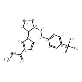 CNC(=O)c1ccn(C2CNCC2OCc2ccc(C(F)(F)F)cc2)n1